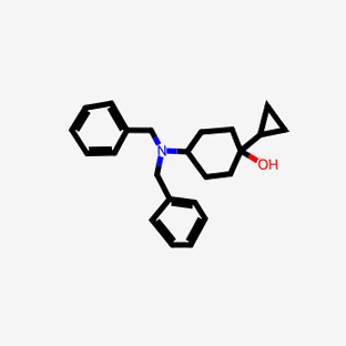 OC1(C2CC2)CCC(N(Cc2ccccc2)Cc2ccccc2)CC1